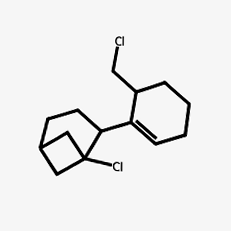 ClCC1CCCC=C1C1CCC2CC1(Cl)C2